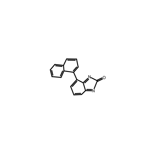 O=C1N=c2cccc(-c3cccc4ccccc34)c2=N1